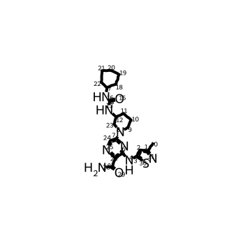 Cc1cc(Nc2nc(N3CCCC(NC(=O)NC4CCCCC4)C3)cnc2C(N)=O)sn1